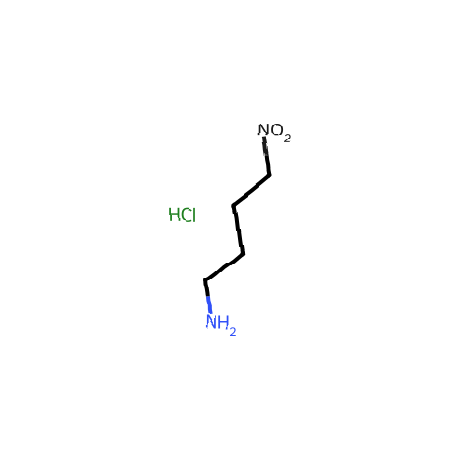 Cl.NCCCC[N+](=O)[O-]